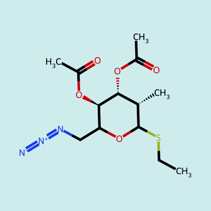 CCSC1OC(CN=[N+]=[N-])[C@@H](OC(C)=O)[C@H](OC(C)=O)[C@@H]1C